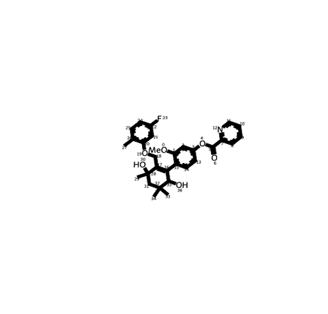 COc1cc(OC(=O)c2ccccn2)ccc1C1=C(COc2cc(F)ccc2C)C(C)(O)CC(C)(C)C1O